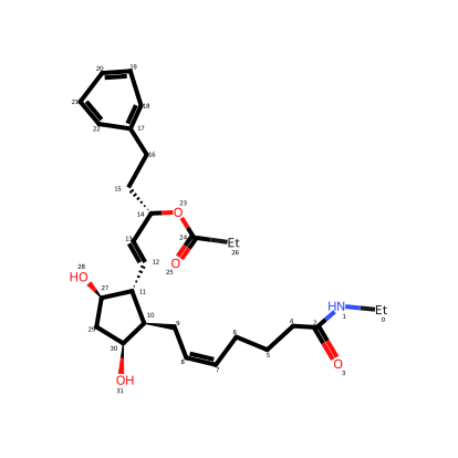 CCNC(=O)CCC/C=C\C[C@@H]1[C@@H](/C=C/[C@H](CCc2ccccc2)OC(=O)CC)[C@H](O)C[C@@H]1O